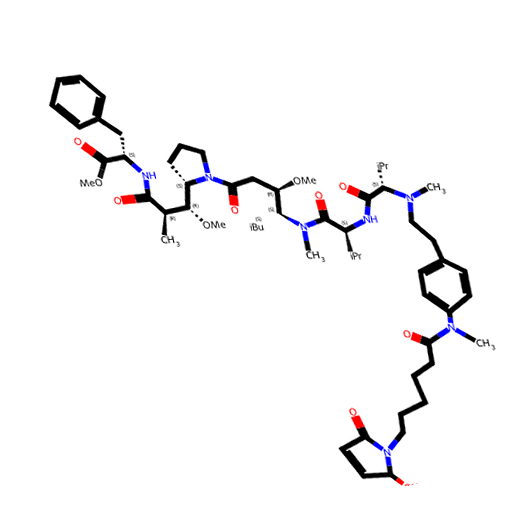 CC[C@H](C)[C@@H]([C@@H](CC(=O)N1CCC[C@H]1[C@H](OC)[C@@H](C)C(=O)N[C@@H](Cc1ccccc1)C(=O)OC)OC)N(C)C(=O)[C@@H](NC(=O)[C@H](C(C)C)N(C)CCc1ccc(N(C)C(=O)CCCCCN2C(=O)C=CC2O)cc1)C(C)C